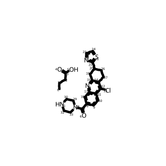 CCCC(=O)O.O=C(c1ccc2c(Cl)c3c(nc2c1)CC(c1nccs1)CC3)N1CCNCC1